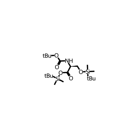 CC(C)(C)OC(=O)N[C@@H](CO[Si](C)(C)C(C)(C)C)C(=O)O[Si](C)(C)C(C)(C)C